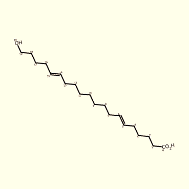 O=C(O)CCCCC=CCCCCCCCC=CCCCCO